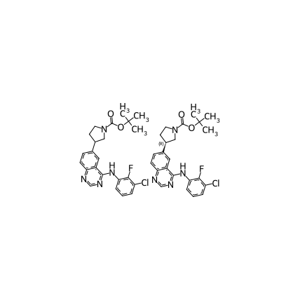 CC(C)(C)OC(=O)N1CCC(c2ccc3ncnc(Nc4cccc(Cl)c4F)c3c2)C1.CC(C)(C)OC(=O)N1CC[C@H](c2ccc3ncnc(Nc4cccc(Cl)c4F)c3c2)C1